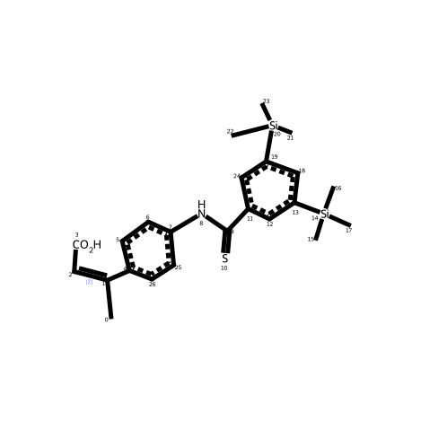 C/C(=C/C(=O)O)c1ccc(NC(=S)c2cc([Si](C)(C)C)cc([Si](C)(C)C)c2)cc1